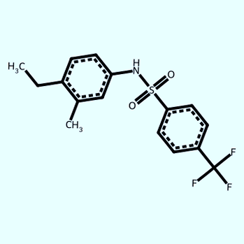 CCc1ccc(NS(=O)(=O)c2ccc(C(F)(F)F)cc2)cc1C